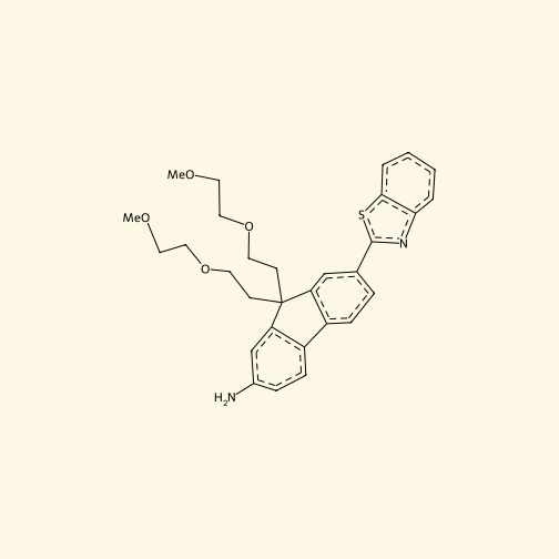 COCCOCCC1(CCOCCOC)c2cc(N)ccc2-c2ccc(-c3nc4ccccc4s3)cc21